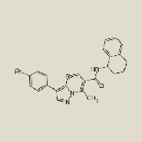 Cc1c(C(=O)NC2CCCc3ccccc32)cnc2c(-c3ccc(C(C)C)cc3)cnn12